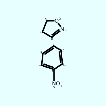 C1=NOCC1.O=[N+]([O-])c1ccccc1